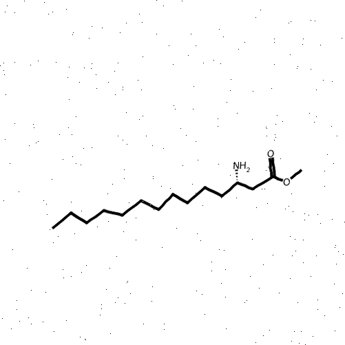 CCCCCCCCCCC[C@H](N)CC(=O)OC